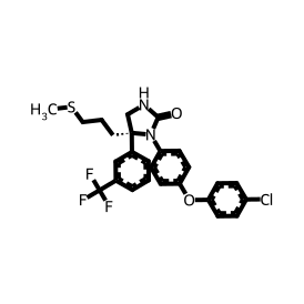 CSCCC[C@]1(c2cccc(C(F)(F)F)c2)CNC(=O)N1c1ccc(Oc2ccc(Cl)cc2)cc1